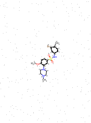 COc1ccc(S(=O)(=O)Nc2ccc(C)c(Br)c2)cc1N1CCN(C)CC1